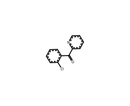 O=C(c1ccccn1)c1ccccc1Cl